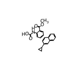 COC(=O)c1ccccc1NC(=O)O.c1ccc2cc(C3CC3)ccc2c1